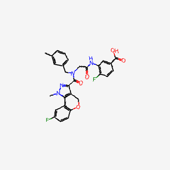 Cc1cccc(CN(CC(=O)Nc2cc(C(=O)O)ccc2F)C(=O)c2nn(C)c3c2COc2ccc(F)cc2-3)c1